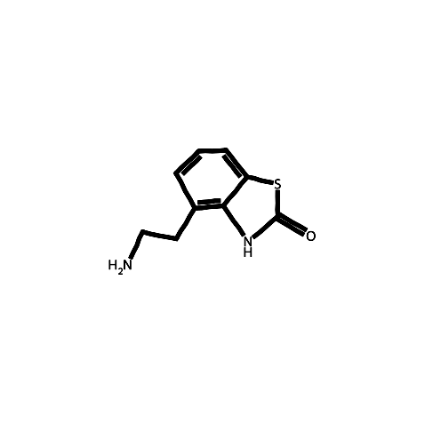 NCCc1cccc2sc(=O)[nH]c12